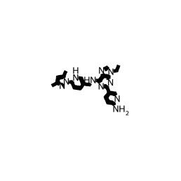 CCn1cnc2c(NCC3=CNC(n4nc(C)cc4C)C=C3)nc(-c3ccc(N)nc3)nc21